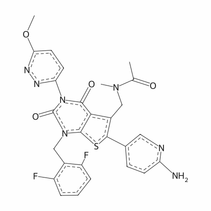 COc1ccc(-n2c(=O)c3c(CN(C)C(C)=O)c(-c4ccc(N)nc4)sc3n(Cc3c(F)cccc3F)c2=O)nn1